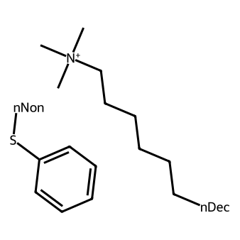 CCCCCCCCCCCCCCCC[N+](C)(C)C.CCCCCCCCCSc1ccccc1